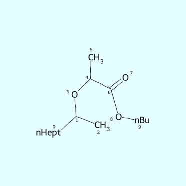 CCCCCCCC(C)OC(C)C(=O)OCCCC